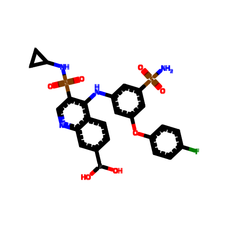 NS(=O)(=O)c1cc(Nc2c(S(=O)(=O)NC3CC3)cnc3cc(B(O)O)ccc23)cc(Oc2ccc(F)cc2)c1